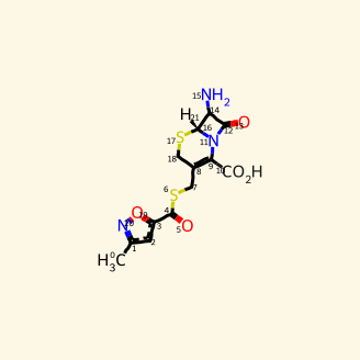 Cc1cc(C(=O)SCC2=C(C(=O)O)N3C(=O)C(N)[C@H]3SC2)on1